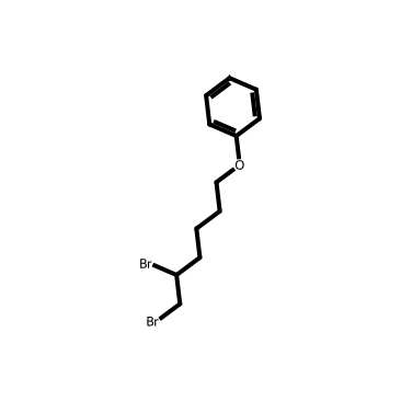 BrCC(Br)CCCCOc1cc[c]cc1